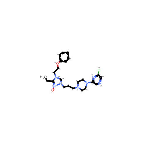 CCC1=[N+]([O-])N(CCCN2CCN(c3cncc(Cl)n3)CC2)CN1CCOc1ccccc1